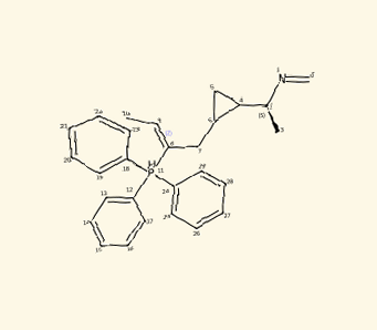 C=N[C@@H](C)C1CC1C/C(=C/C)[PH](c1ccccc1)(c1ccccc1)c1ccccc1